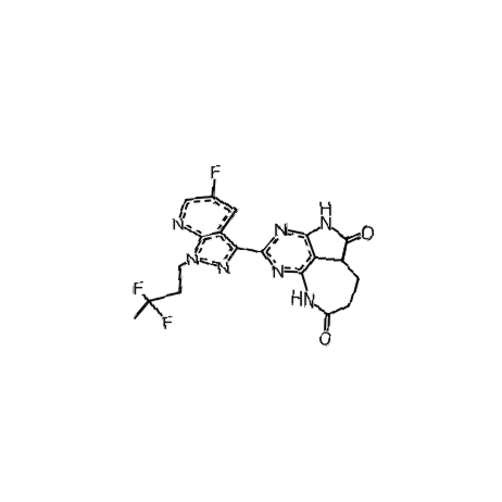 CC(F)(F)CCn1nc(-c2nc3c4c(n2)NC(=O)C4(C)CCC(=O)N3)c2cc(F)cnc21